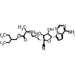 CCC(CC)COC(=O)[C@@H](C)NCOC[C@@]1(C#N)O[C@@H](c2ccc3c(N)ncnn23)[C@H](O)[C@@H]1O